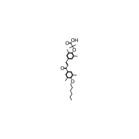 CCCCCCOc1c(C)cc(C(=O)C=Cc2cc(C)c(OC(C)(C)C(=O)O)c(C)c2)cc1C